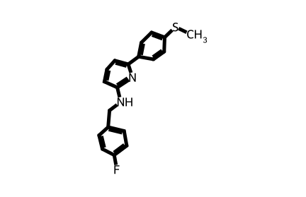 CSc1ccc(-c2cccc(NCc3ccc(F)cc3)n2)cc1